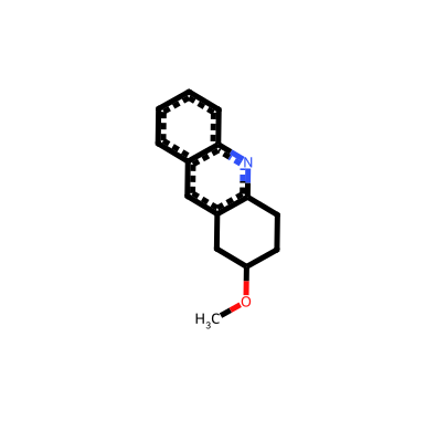 COC1CCc2nc3ccccc3cc2C1